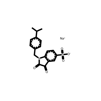 CC(C)c1ccc(CN2C(=O)C(=O)c3cc(S(=O)(=O)[O-])ccc32)cc1.[Na+]